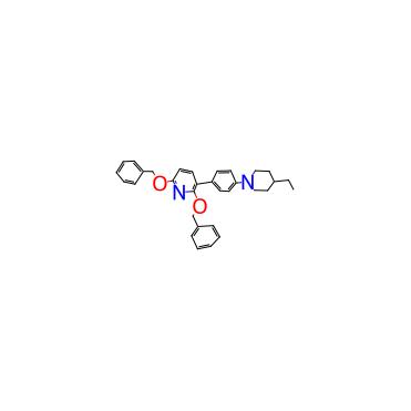 CCC1CCN(c2ccc(-c3ccc(OCc4ccccc4)nc3OCc3ccccc3)cc2)CC1